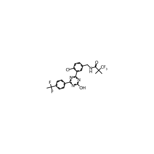 CC(F)(F)c1ccc(-c2nc(O)nc(-c3cc(CNC(=O)C(C)(C)C(F)(F)F)ccc3Cl)n2)cc1